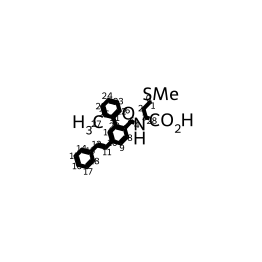 CSCCC(NC(=O)c1ccc(C=Cc2ccccc2)cc1-c1ccccc1C)C(=O)O